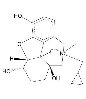 C[N+]1(CC2CC2)CCC23c4c5ccc(O)c4O[C@H]2[C@@H](O)CC[C@@]3(O)C1C5